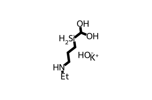 CCNCCC[SiH2]C(O)O.[K+].[OH-]